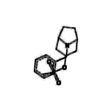 CS(=O)(=O)OC1CC2CCC(C1)N2Cc1ccccc1